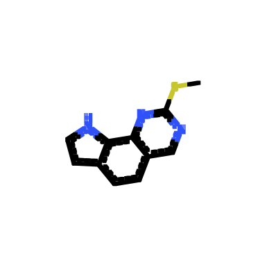 CSc1ncc2ccc3cc[nH]c3c2n1